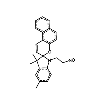 Cc1ccc2c(c1)C(C)(C)C1(C=Cc3c(ccc4ccccc34)O1)N2CCN=O